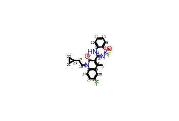 Cc1c(C2=NP(=O)(F)c3ccccc3N2)c(=O)n(CCC2CC2)c2ccc(F)cc12